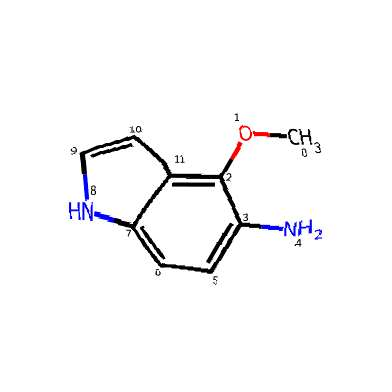 COc1c(N)ccc2[nH]ccc12